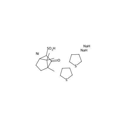 C1CCSC1.C1CCSC1.CC12CCC(C(S(=O)(=O)O)C1=O)C2(C)C.[NaH].[NaH].[Ni]